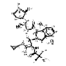 C[C@@H](OC1CC1)[C@H](NC(=O)C(F)(F)C(F)(F)F)C(=O)N1C[C@H]2[C@@H]([C@H]1C(=O)N[C@H](C#N)C[C@@H]1CCNC1=O)[C@H]1C=C[C@@H]2C1